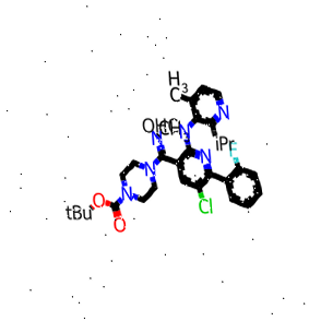 C/N=C(\c1cc(Cl)c(-c2ccccc2F)nc1N(C=O)c1c(C)ccnc1C(C)C)N1CCN(C(=O)OC(C)(C)C)CC1